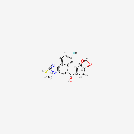 O=C(C=Cc1c(-c2ccc(F)cc2)nc2sccn12)c1ccc2c(c1)OCO2